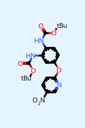 CC(C)(C)OC(=O)Nc1ccc(Oc2ccc([N+](=O)[O-])cn2)cc1NC(=O)OC(C)(C)C